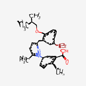 Cc1ccc(-n2c(C)ccc2-c2cc(Br)ccc2OCC(C)C)cc1C(=O)O.[Na]